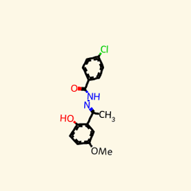 COc1ccc(O)c(/C(C)=N/NC(=O)c2ccc(Cl)cc2)c1